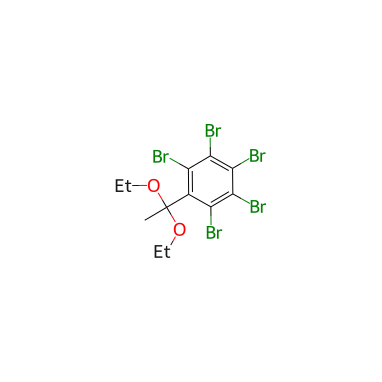 CCOC(C)(OCC)c1c(Br)c(Br)c(Br)c(Br)c1Br